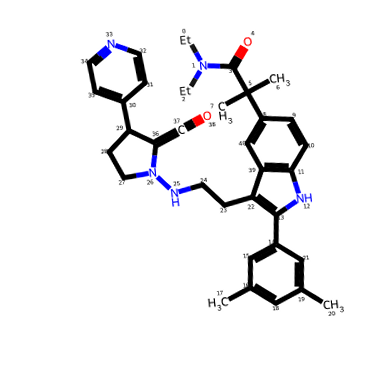 CCN(CC)C(=O)C(C)(C)c1ccc2[nH]c(-c3cc(C)cc(C)c3)c(CCNN3CCC(c4ccncc4)C3=C=O)c2c1